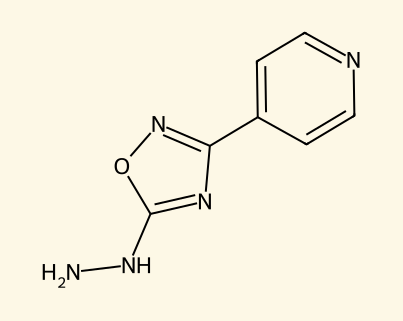 NNc1nc(-c2ccncc2)no1